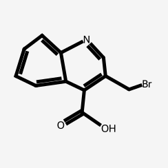 O=C(O)c1c(CBr)cnc2ccccc12